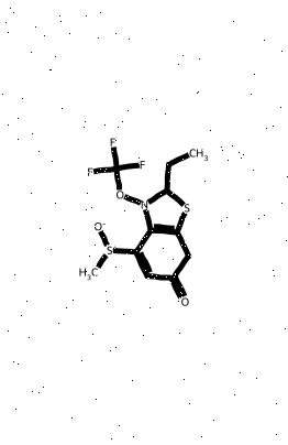 CCC1SC2=C(C([S+](C)[O-])=CC(=O)C2)N1OC(F)(F)F